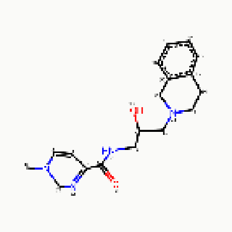 CN1C=CC(C(=O)NCC(O)CN2CCc3ccccc3C2)=NC1